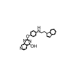 Oc1nc(Oc2ccc(NCCC3C=Cc4ccccc43)cc2)nc2cnccc12